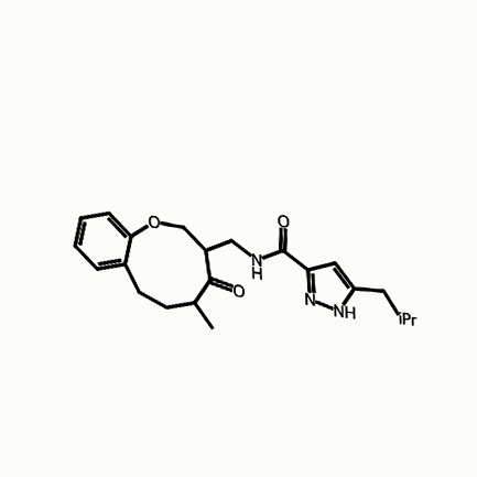 CC(C)Cc1cc(C(=O)NCC2COc3ccccc3CCC(C)C2=O)n[nH]1